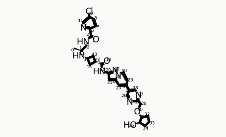 C[C@@H](CNC(=O)c1ccc(Cl)cn1)N[C@H]1C[C@@H](C(=O)Nc2cc3cc(-c4cnc(CO[C@H]5CCC[C@@H]5O)nc4)ccn3n2)C1